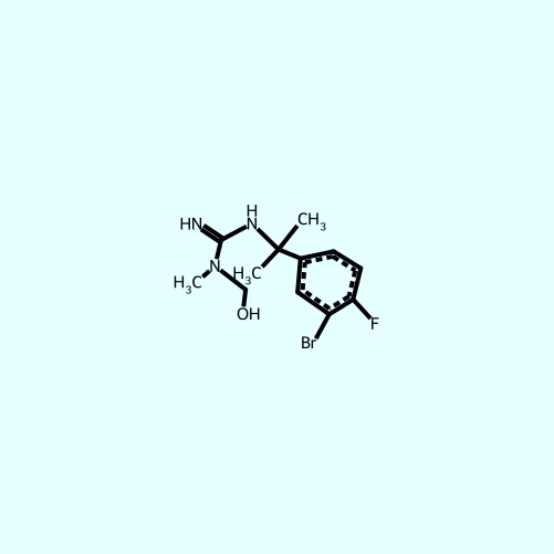 CN(CO)C(=N)NC(C)(C)c1ccc(F)c(Br)c1